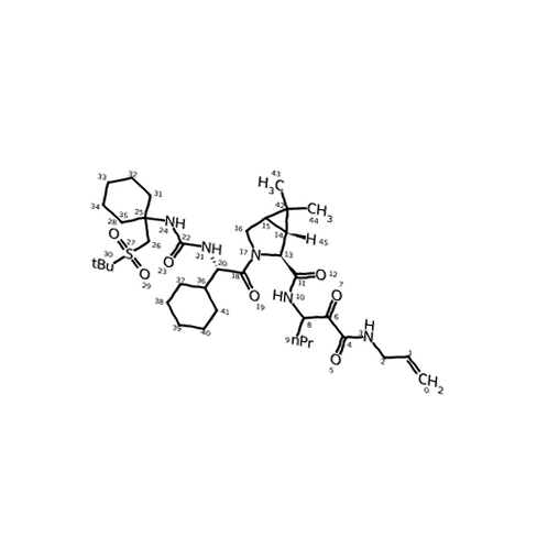 C=CCNC(=O)C(=O)C(CCC)NC(=O)[C@@H]1[C@@H]2C(CN1C(=O)[C@@H](NC(=O)NC1(CS(=O)(=O)C(C)(C)C)CCCCC1)C1CCCCC1)C2(C)C